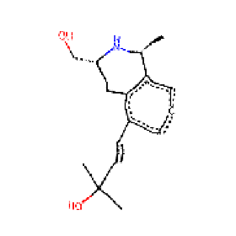 C[C@@H]1N[C@@H](CO)Cc2c(/C=C/C(C)(C)O)cccc21